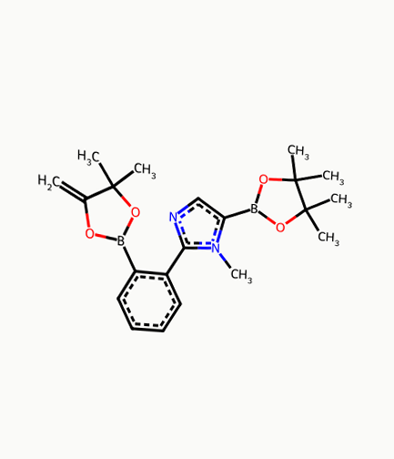 C=C1OB(c2ccccc2-c2ncc(B3OC(C)(C)C(C)(C)O3)n2C)OC1(C)C